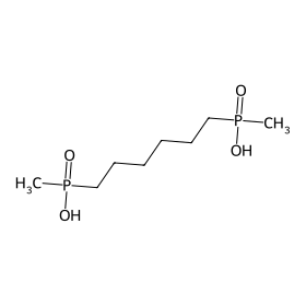 CP(=O)(O)CCCCCCP(C)(=O)O